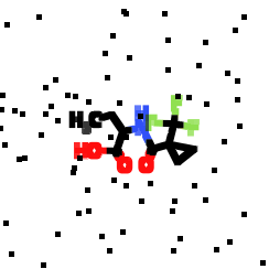 CCC(NC(=O)C1(C(F)(F)F)CC1)C(=O)O